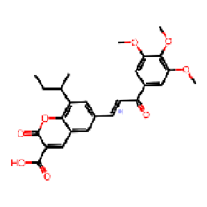 CCC(C)c1cc(/C=C/C(=O)c2cc(OC)c(OC)c(OC)c2)cc2cc(C(=O)O)c(=O)oc12